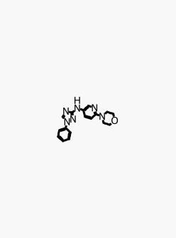 c1ccc(-n2cnc(Nc3ccc(N4CCOCC4)nc3)n2)cc1